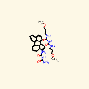 COCCCNC(=O)NC(=O)NCCCOC.NC(=O)NC(N)=O.c1cc2cccc3c4cccc5cccc(c(c1)c23)c54